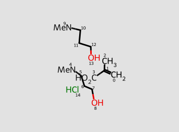 C=C(C)C(=O)O.CNCCCO.CNCCCO.Cl